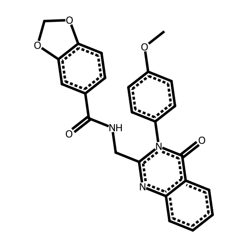 COc1ccc(-n2c(CNC(=O)c3ccc4c(c3)OCO4)nc3ccccc3c2=O)cc1